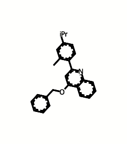 Cc1cc(C(C)C)ccc1-c1cc(OCc2ccccc2)c2ccccc2n1